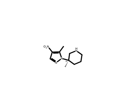 Cc1c([N+](=O)[O-])cnn1[C@]1(C)CCCNC1